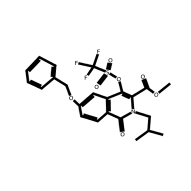 COC(=O)c1c(OS(=O)(=O)C(F)(F)F)c2cc(OCc3ccccc3)ccc2c(=O)n1CC(C)C